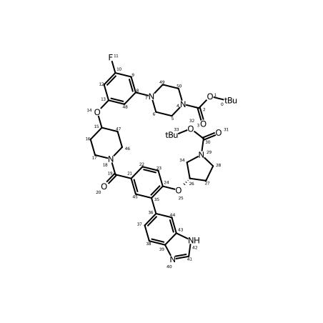 CC(C)(C)OC(=O)N1CCN(c2cc(F)cc(OC3CCN(C(=O)c4ccc(O[C@H]5CCN(C(=O)OC(C)(C)C)C5)c(-c5ccc6nc[nH]c6c5)c4)CC3)c2)CC1